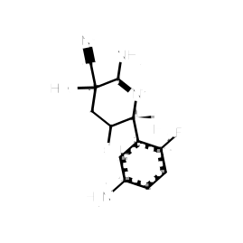 CC1CC(C)(C#N)C(N)=N[C@]1(C)c1cc(N)ccc1F